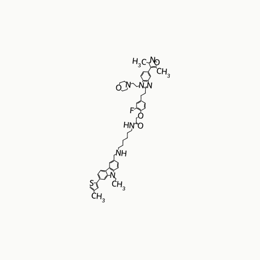 CCn1c2ccc(CNCCCCCCNC(=O)COc3ccc(CCc4nc5cc(-c6c(C)noc6C)ccc5n4CCN4CCOCC4)cc3F)cc2c2ccc(-c3cc(C)cs3)cc21